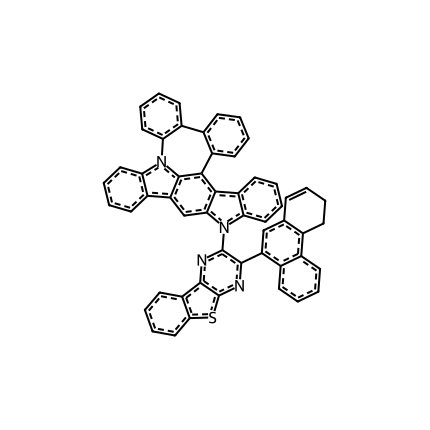 C1=Cc2cc(-c3nc4sc5ccccc5c4nc3-n3c4ccccc4c4c5c6c(cc43)c3ccccc3n6-c3ccccc3-c3ccccc3-5)c3ccccc3c2CC1